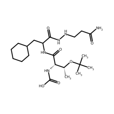 C[C@@H](OC(C)(C)C)[C@H](NC(=O)O)C(=O)NC(CC1CCCCC1)C(=O)NNCCC(N)=O